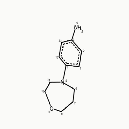 Nc1ccc(N2CCCOCC2)cc1